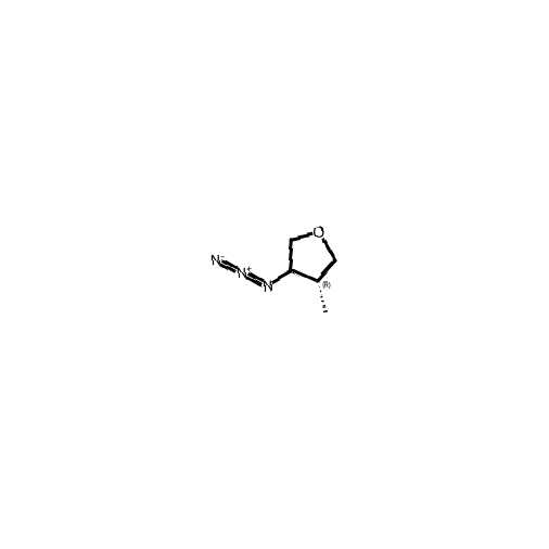 C[C@H]1COCC1N=[N+]=[N-]